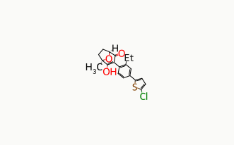 CCc1cc(-c2ccc(Cl)s2)ccc1C1=C(O)[C@@]2(C)CC[C@H](O2)C1=O